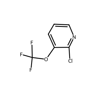 FC(F)(F)Oc1cccnc1Cl